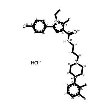 CCn1c(-c2ccc(Cl)cc2)cc(C(=O)NCCCN2CCN(c3cccc(C)c3C)CC2)c1C.Cl